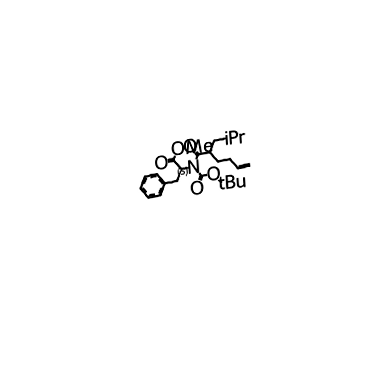 C=CCCC(CC(C)C)C(=O)N(C(=O)OC(C)(C)C)[C@@H](Cc1ccccc1)C(=O)OC